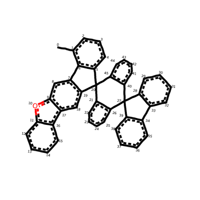 Cc1cccc2c1-c1cc3oc4ccccc4c3cc1C21c2ccccc2C2(c3ccccc3-c3ccccc32)c2ccccc21